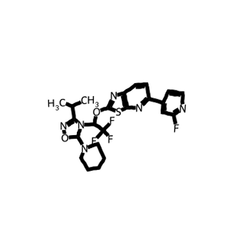 CC(C)C1=NOC(N2CCCCC2)N1C(Oc1nc2ccc(-c3ccnc(F)c3)nc2s1)C(F)(F)F